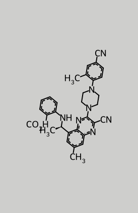 Cc1cc([C@@H](C)Nc2ccccc2C(=O)O)c2nc(N3CCN(c4ccc(C#N)cc4C)CC3)c(C#N)nc2c1